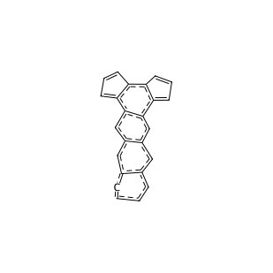 C1=Cc2c3c(c4cc5cc6ccccc6cc5cc4c2=C1)=CC=C3